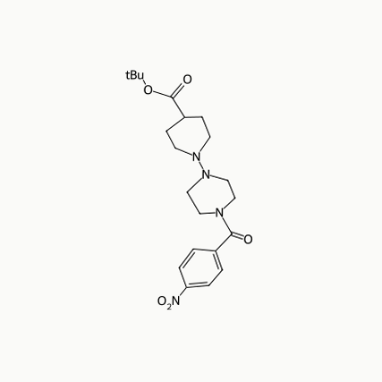 CC(C)(C)OC(=O)C1CCN(N2CCN(C(=O)c3ccc([N+](=O)[O-])cc3)CC2)CC1